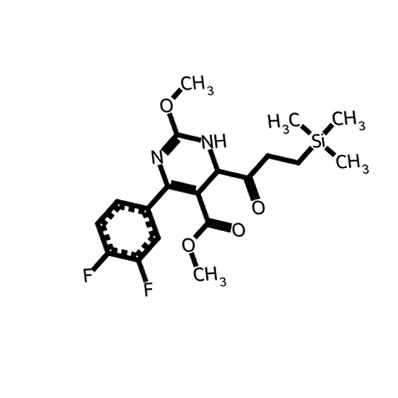 COC(=O)C1=C(c2ccc(F)c(F)c2)N=C(OC)NC1C(=O)CC[Si](C)(C)C